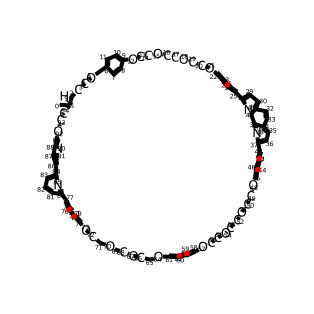 C[C@H]1CCCOc2ccc(cc2)OCCOCCOCCOc2ccc(cc2)-c2ccc3ccc4ccc(nc4c3n2)-c2ccc(cc2)OCCOCCOCCOc2ccc(cc2)OCCOCCOCCOc2ccc(cn2)-c2cccc(n2)-c2ccc(nc2)OCC1